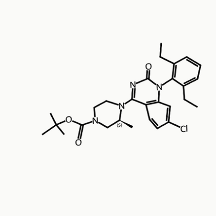 CCc1cccc(CC)c1-n1c(=O)nc(N2CCN(C(=O)OC(C)(C)C)C[C@@H]2C)c2ccc(Cl)cc21